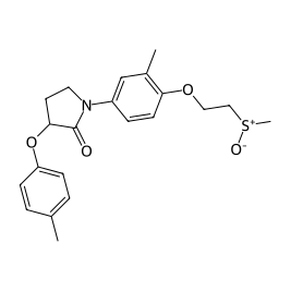 Cc1ccc(OC2CCN(c3ccc(OCC[S+](C)[O-])c(C)c3)C2=O)cc1